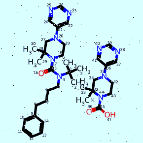 CC(C)(C)N(CCCCc1ccccc1)C(=O)N1CCN(c2cncnc2)CC1(C)C.CC1(C)CN(c2cncnc2)CCN1C(=O)O